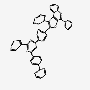 c1ccc(-c2ccc(-c3cc(-c4ccc(-c5oc6c(-c7ccccc7)nc7ccccc7c6c5-c5ccccc5)cc4)nc(-c4ccccc4)n3)cc2)cc1